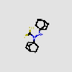 S=C(S)N(NC12CCC(CC1)C2)C12CCC(CC1)C2